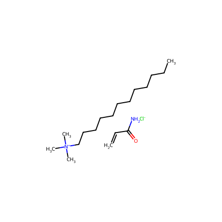 C=CC(N)=O.CCCCCCCCCCCC[N+](C)(C)C.[Cl-]